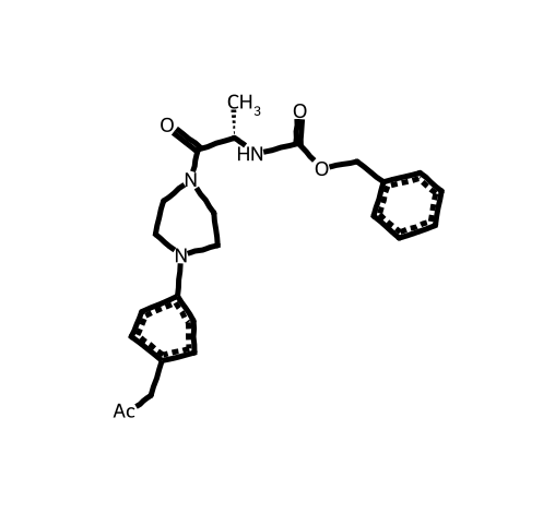 CC(=O)Cc1ccc(N2CCN(C(=O)[C@H](C)NC(=O)OCc3ccccc3)CC2)cc1